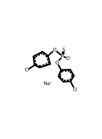 [Na+].[O-]P(=S)(Oc1ccc(Cl)cc1)Oc1ccc(Cl)cc1